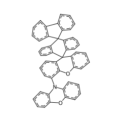 c1ccc2c(c1)Oc1ccccc1N2c1cccc2c1Oc1ccccc1C21c2ccccc2C2(c3ccccc3-c3ccccc32)c2ccccc21